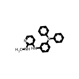 CNc1ncccc1Nc1cccc(N(c2ccccc2)c2ccccc2)c1